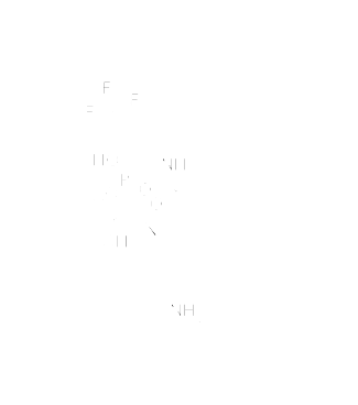 NCCCC[C@H](OP(=O)(O)C(CCC(F)(F)F)NC(=O)CCc1ccccc1)C(=O)O